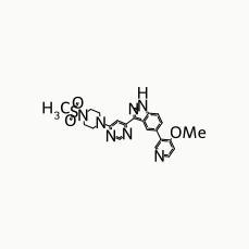 COc1ccncc1-c1ccc2[nH]nc(-c3cc(N4CCN(S(C)(=O)=O)CC4)ncn3)c2c1